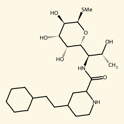 CS[C@H]1O[C@H]([C@H](NC(=O)C2CC(CCC3CCCCC3)CCN2)[C@@H](C)O)[C@H](O)[C@H](O)[C@H]1O